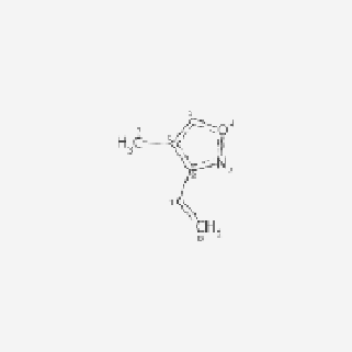 C=Cc1nocc1C